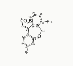 CCOC(=O)C=C1c2ccc(F)cc2OCc2c(F)cccc21